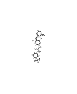 Cc1cc(NC(=O)Nc2cccc(C(F)(F)F)c2)cc(C)c1Oc1cc(Cl)ncn1